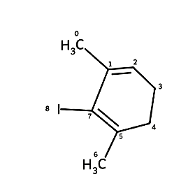 CC1=CCCC(C)=C1I